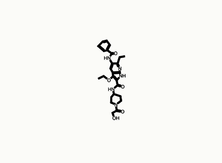 CCOc1c(C(=O)NC2CCN(C(=O)CO)CC2)[nH]c2nc(CC)c(NC(=O)c3ccccc3)cc12